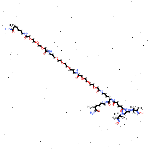 C/C(=N\O)C(C)(C)NCC(CNC(C)(C)/C(C)=N/O)NC(=O)CCCC(=O)N[C@@H](CCCCNC(=O)COCCOCCOCC(=O)NCCCOCCOCCOCCCNC(=O)COCCOCCOCC(=O)NCCCC[C@H](C)C(N)=O)C(=O)NCCCC[C@H](C)C(N)=O